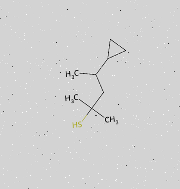 CC(CC(C)(C)S)C1CC1